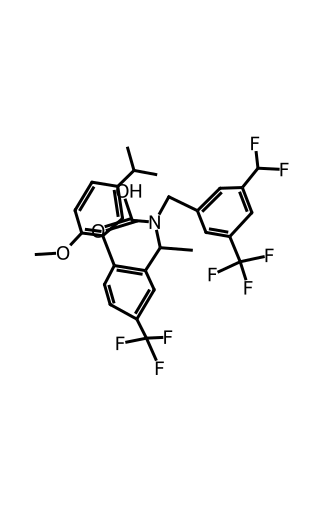 COc1ccc(C(C)C)cc1-c1ccc(C(F)(F)F)cc1C(C)N(Cc1cc(C(F)F)cc(C(F)(F)F)c1)C(=O)O